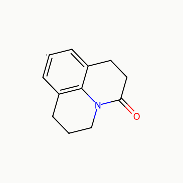 O=C1CCc2c[c]cc3c2N1CCC3